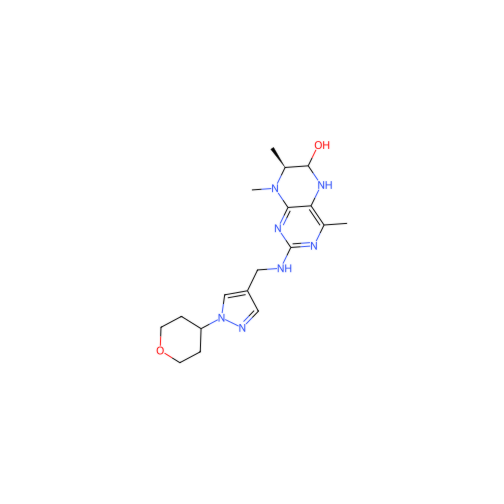 Cc1nc(NCc2cnn(C3CCOCC3)c2)nc2c1NC(O)[C@H](C)N2C